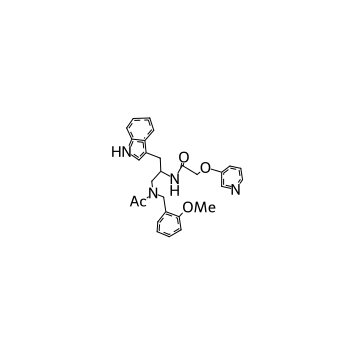 COc1ccccc1CN(CC(Cc1c[nH]c2ccccc12)NC(=O)COc1cccnc1)C(C)=O